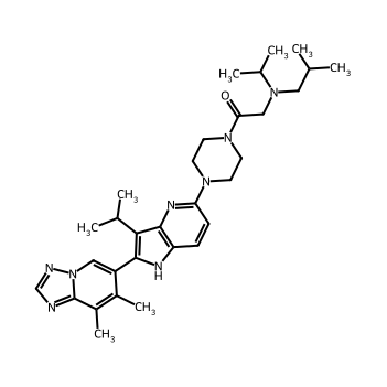 Cc1c(-c2[nH]c3ccc(N4CCN(C(=O)CN(CC(C)C)C(C)C)CC4)nc3c2C(C)C)cn2ncnc2c1C